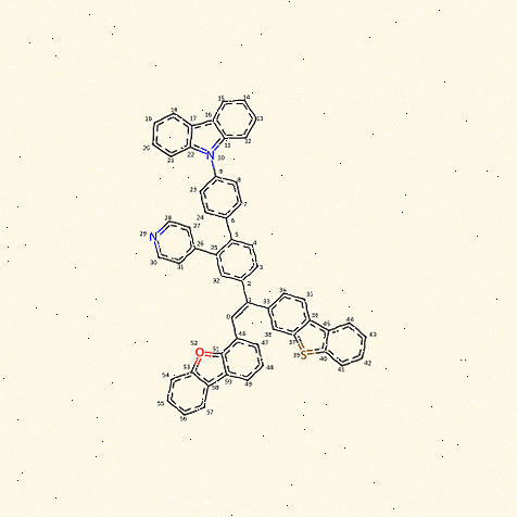 C(=C(\c1ccc(-c2ccc(-n3c4ccccc4c4ccccc43)cc2)c(-c2ccncc2)c1)c1ccc2c(c1)sc1ccccc12)/c1cccc2c1oc1ccccc12